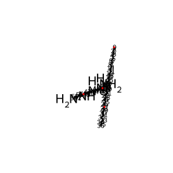 CCCCCCCCCCCCCCCCCCN(CCCCCCCCCCCCCCCCCC)C(N)C(=O)NCCCNCCCCNCCCN